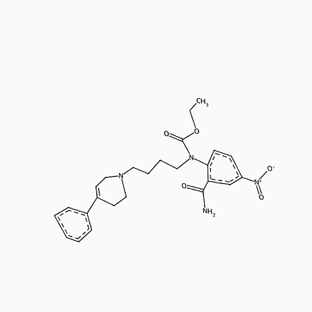 CCOC(=O)N(CCCCN1CC=C(c2ccccc2)CC1)c1ccc([N+](=O)[O-])cc1C(N)=O